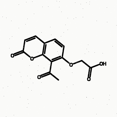 CC(=O)c1c(OCC(=O)O)ccc2ccc(=O)oc12